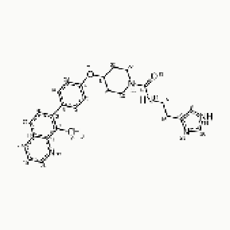 Cc1c(-c2ccc(OC3CCN(C(=O)NCCc4c[nH]cn4)CC3)cc2)ccc2cccnc12